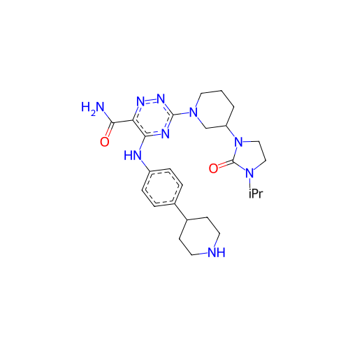 CC(C)N1CCN(C2CCCN(c3nnc(C(N)=O)c(Nc4ccc(C5CCNCC5)cc4)n3)C2)C1=O